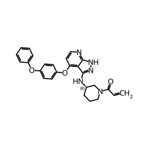 C=CC(=O)N1CCC[C@@H](Nc2n[nH]c3nccc(Oc4ccc(Oc5ccccc5)cc4)c23)C1